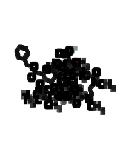 CN(CCN(C)C(=O)OCc1ccc(OC2OC(C(=O)OCc3ccccc3)C(O[Si](C)(C)C(C)(C)C)C(O[Si](C)(C)C(C)(C)C)C2O[Si](C)(C)C(C)(C)C)c([N+](=O)[O-])c1)C(=O)Cl